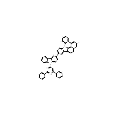 c1ccc(-c2cc(-n3c4ccccc4c4cc(-c5ccc6c(c5)c5ccc7cccc8c9ccccc9n6c5c78)ccc43)nc(-c3ccccc3)n2)cc1